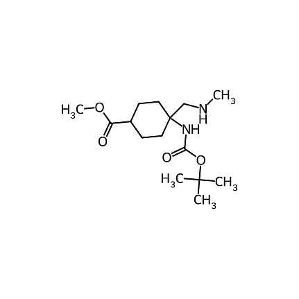 CNCC1(NC(=O)OC(C)(C)C)CCC(C(=O)OC)CC1